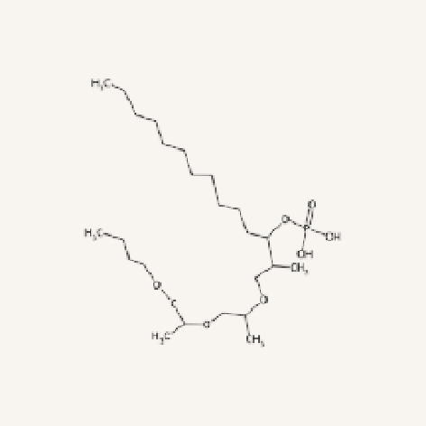 CCCCCCCCCCCC(OP(=O)(O)O)C(C)COC(C)COC(C)COCCCC